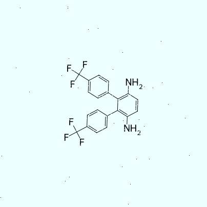 Nc1ccc(N)c(-c2ccc(C(F)(F)F)cc2)c1-c1ccc(C(F)(F)F)cc1